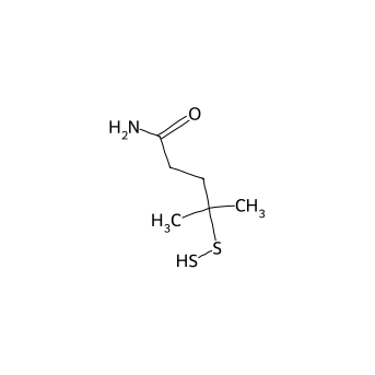 CC(C)(CCC(N)=O)SS